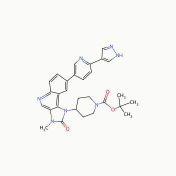 Cn1c(=O)n(C2CCN(C(=O)OC(C)(C)C)CC2)c2c3cc(-c4ccc(-c5cn[nH]c5)nc4)ccc3ncc21